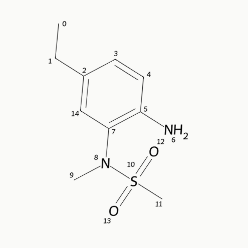 CCc1ccc(N)c(N(C)S(C)(=O)=O)c1